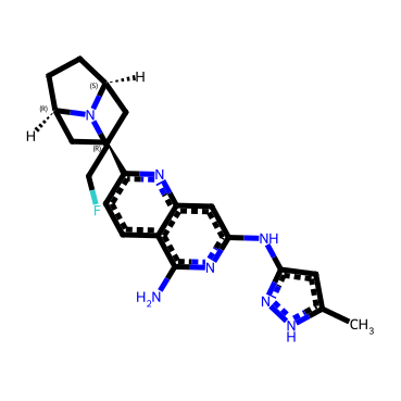 Cc1cc(Nc2cc3nc([C@H]4C[C@H]5CC[C@@H](C4)N5CCF)ccc3c(N)n2)n[nH]1